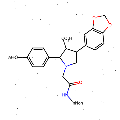 CCCCCCCCCNC(=O)CN1CC(c2ccc3c(c2)OCO3)C(C(=O)O)C1c1ccc(OC)cc1